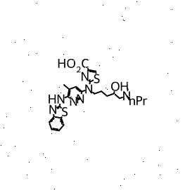 CCCN(C)CC(O)CCCN(c1cc(C)c(Nc2nc3ccccc3s2)nn1)c1nc(C(=O)O)cs1